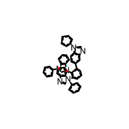 C1=Nc2ccccc2[N+]1(c1ccccc1)c1cccc(-c2ccc3c(c2)ncn3-c2ccccc2)c1N1CN(c2ccccc2)c2ccccc21